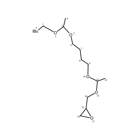 CCC(C)COC(C)OCCCCOC(C)OCC1CO1